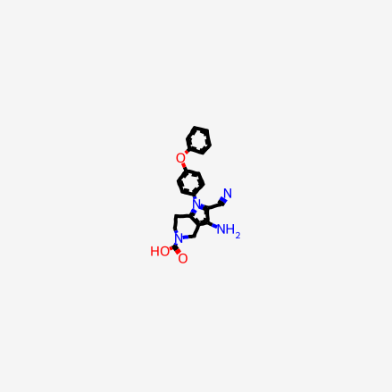 N#Cc1c(N)c2c(n1-c1ccc(Oc3ccccc3)cc1)CCN(C(=O)O)C2